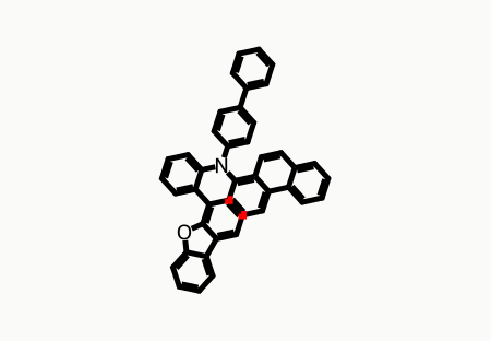 c1ccc(-c2ccc(N(c3ccccc3-c3cccc4c3oc3ccccc34)c3cccc4c3ccc3ccccc34)cc2)cc1